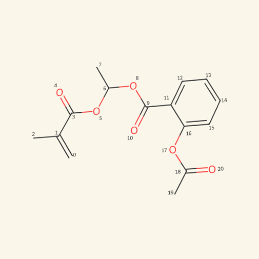 C=C(C)C(=O)OC(C)OC(=O)c1ccccc1OC(C)=O